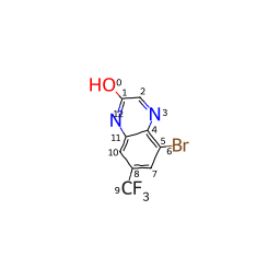 Oc1cnc2c(Br)cc(C(F)(F)F)cc2n1